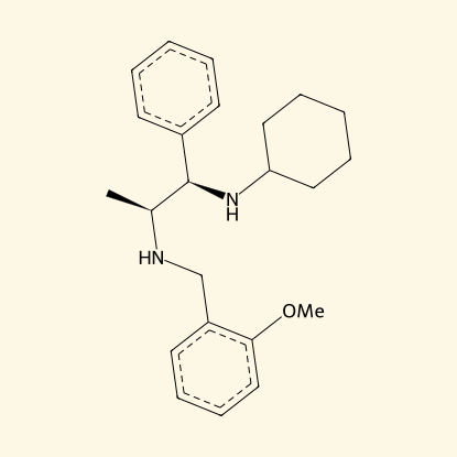 COc1ccccc1CN[C@@H](C)[C@H](NC1CCCCC1)c1ccccc1